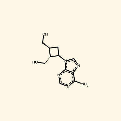 Nc1ncnc2c1ncn2C1C[C@H](CO)[C@H]1CO